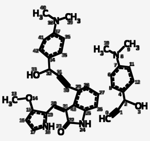 C#CC(O)c1ccc(N(C)C)cc1.COc1cc[nH]c1C=C1C(=O)Nc2cccc(C#CC(O)c3ccc(N(C)C)cc3)c21